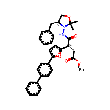 CC(C)(C)OC(=O)C[C@@H](C(=O)NN1[C@@H](Cc2ccccc2)COC1(C)C)c1ccc(-c2ccc(-c3ccccc3)cc2)o1